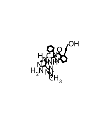 CC(Nc1ncnc(N)c1-c1ncn(C)n1)c1nc2cccc(C#CCO)c2c(=O)n1-c1ccccc1